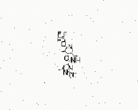 Cc1cc(C(=O)NC(C)c2cnc(OCC(F)(F)F)c(C)c2)nc(N(C)C)n1